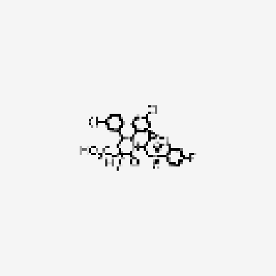 CC1(CC(=O)O)CC(c2cccc(Cl)c2)C(c2ccc(Cl)cc2)N(C(CS(=O)(=O)c2ccc(F)cc2Cl)C2CC2)C1=O